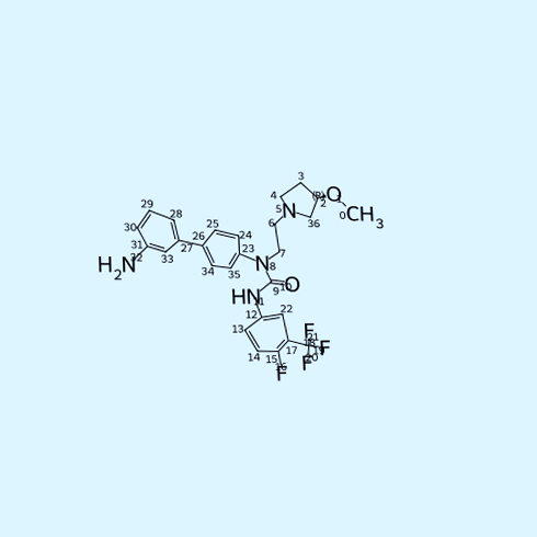 CO[C@@H]1CCN(CCN(C(=O)Nc2ccc(F)c(C(F)(F)F)c2)c2ccc(-c3cccc(N)c3)cc2)C1